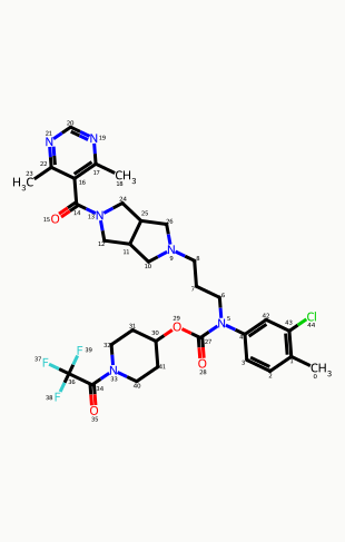 Cc1ccc(N(CCCN2CC3CN(C(=O)c4c(C)ncnc4C)CC3C2)C(=O)OC2CCN(C(=O)C(F)(F)F)CC2)cc1Cl